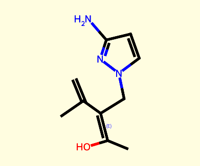 C=C(C)/C(Cn1ccc(N)n1)=C(/C)O